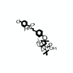 [2H][C@]1(CC(C)(C)Oc2ccc(CCNC(=O)c3ccc(Cl)cc3)cc2)C(=O)O[C@H](C(C)(C)C)N1C(=O)O